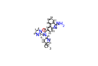 C[C@H](c1ncccn1)N(Cc1ccc(C(F)(F)F)cn1)C(=O)c1ccc2nc(N)c3ccccc3c2c1